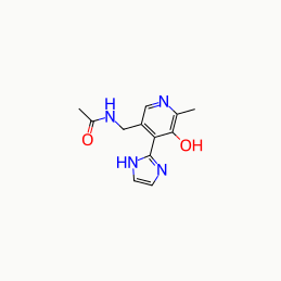 CC(=O)NCc1cnc(C)c(O)c1-c1ncc[nH]1